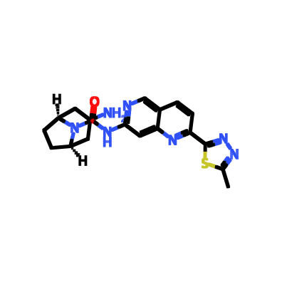 Cc1nnc(-c2ccc3cnc(NC(=O)N4[C@@H]5CC[C@H]4CC(N)C5)cc3n2)s1